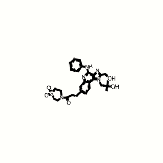 CC(C)(O)Cn1c(CO)nc2c(Nc3ccccc3)nc3cc(CCC(=O)N4CCS(=O)(=O)CC4)ccc3c21